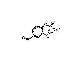 O=Cc1ccc(OP(=O)(O)O)c(Cl)c1